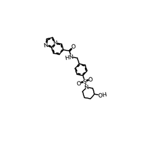 O=C(NCc1ccc(S(=O)(=O)N2CCCC(O)C2)cc1)c1ccc2nccn2c1